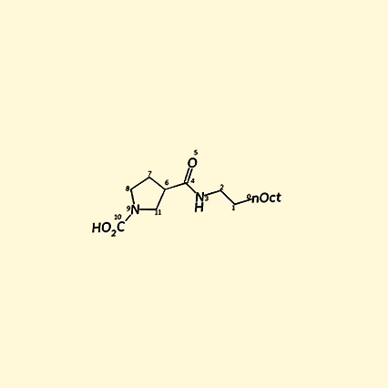 CCCCCCCCCCNC(=O)C1CCN(C(=O)O)C1